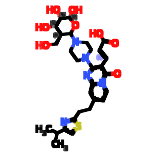 CC(C)c1csc(CCc2ccn3c(=O)c(/C=C/C(=O)O)c(N4CCN(C5O[C@@H](O)[C@@H](O)[C@@H](O)[C@@H]5CO)CC4)nc3c2)n1